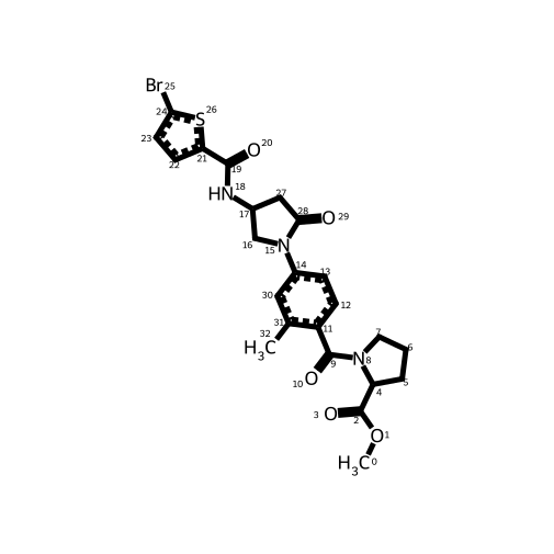 COC(=O)C1CCCN1C(=O)c1ccc(N2CC(NC(=O)c3ccc(Br)s3)CC2=O)cc1C